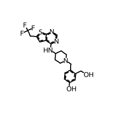 OCc1cc(O)ccc1CN1CCC(Nc2ncnc3sc(CC(F)(F)F)cc23)CC1